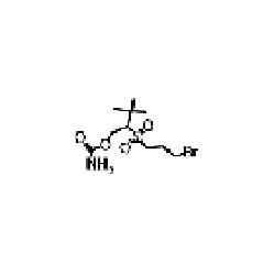 CC(C)(C)C(COC(N)=O)S(=O)(=O)CCCBr